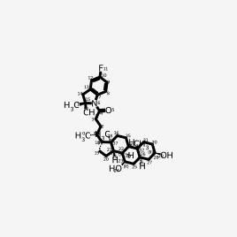 C[C@H](CCC(=O)N1c2ccc(F)cc2CC1(C)C)[C@H]1CC[C@H]2[C@@H]3[C@H](O)C[C@@H]4C[C@H](O)CC[C@]4(C)[C@H]3CC[C@]12C